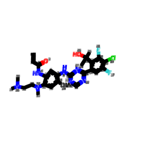 C=CC(=O)Nc1cc(Nc2ncnc(-c3cc(F)c(Cl)c(F)c3C(C)(C)O)n2)c(OC)cc1N(C)CCN(C)C